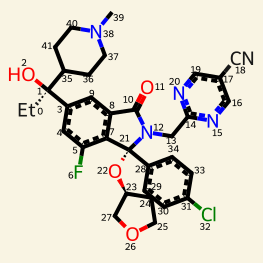 CC[C@@](O)(c1cc(F)c2c(c1)C(=O)N(Cc1ncc(C#N)cn1)[C@@]2(O[C@H]1CCOC1)c1ccc(Cl)cc1)C1CCN(C)CC1